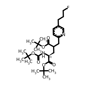 CC(C)(C)OC(=O)N[C@@H](CC(Cc1ccc(CCCF)cn1)C(=O)OC(C)(C)C)C(=O)OC(C)(C)C